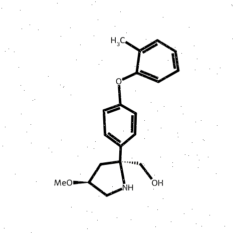 CO[C@@H]1CN[C@](CO)(c2ccc(Oc3ccccc3C)cc2)C1